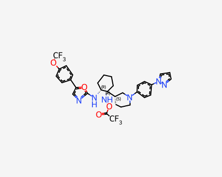 O=C(ON[C@@]1([C@H]2CCCN(c3ccc(-n4cccn4)cc3)C2)CCCC[C@H]1Nc1ncc(-c2ccc(OC(F)(F)F)cc2)o1)C(F)(F)F